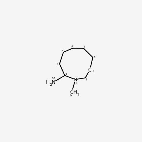 CN1CCCCCCCC1N